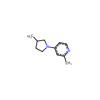 Cc1cc(N2CCC(C)C2)ccn1